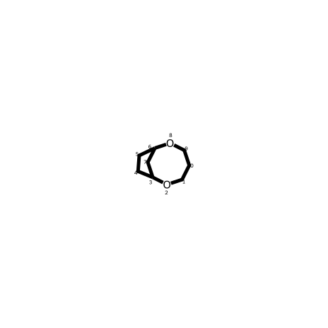 C1COC2CCC(C2)OC1